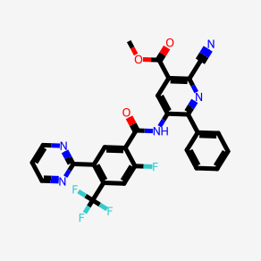 COC(=O)c1cc(NC(=O)c2cc(-c3ncccn3)c(C(F)(F)F)cc2F)c(-c2ccccc2)nc1C#N